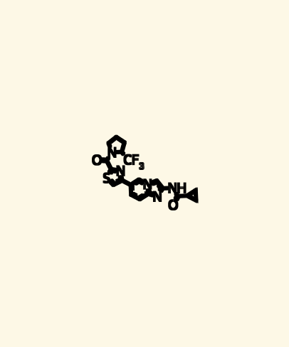 O=C(Nc1cn2cc(-c3csc(C(=O)N4CCCC4C(F)(F)F)n3)ccc2n1)C1CC1